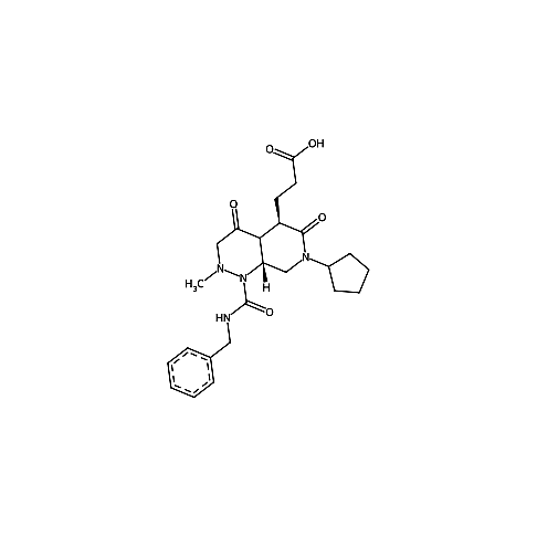 CN1CC(=O)C2[C@@H](CCC(=O)O)C(=O)N(C3CCCC3)C[C@@H]2N1C(=O)NCc1ccccc1